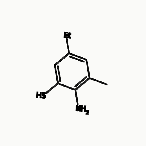 CCc1cc(C)c(N)c(S)c1